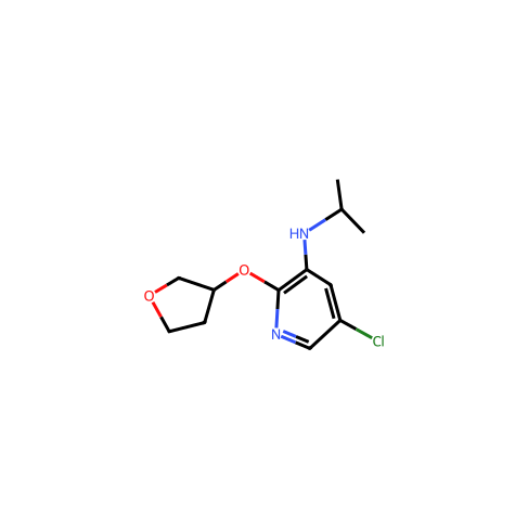 CC(C)Nc1cc(Cl)cnc1OC1CCOC1